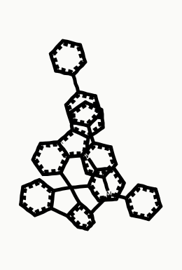 c1ccc(-c2ccc(-c3ccc(N(c4ccccc4)c4cccc5c4C4(c6ccccc6-5)c5ccccc5-n5c6ccccc6c6cccc4c65)cc3)cc2)cc1